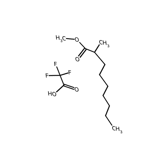 CCCCCCCC(C)C(=O)OC.O=C(O)C(F)(F)F